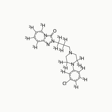 [2H]c1c([2H])c(Cl)c([2H])c(N2C([2H])([2H])CN(CC([2H])([2H])C([2H])([2H])n3nc4c([2H])c([2H])c([2H])c([2H])n4c3=O)CC2([2H])[2H])c1[2H]